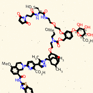 COCCN(CCOC1CC2(Cn3ncc(-c4ccc(N5CCc6c(OC)ccc(C(=O)Nc7nc8ccccc8s7)c6C5)nc4C(=O)O)c3C)CC3(C)CCC1C(C)(C3)C2)C(=O)OCc1ccc(O[C@@H]2O[C@H](C(=O)O)[C@@H](O)[C@H](O)[C@H]2O)cc1OCCOCCNC(=O)[C@H](CS(=O)(=O)O)NC(=O)CCN1C(=O)C=CC1=O